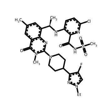 CCn1cc(F)c(C2CCN(c3nc4c([C@@H](C)Nc5ccc(Cl)nc5C(=O)NS(C)(=O)=O)cc(C)cc4c(=O)n3C)CC2)n1